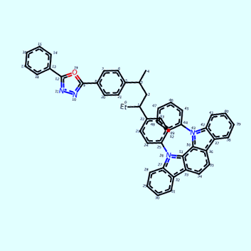 CCC(CC(C)c1ccc(-c2nnc(-c3ccccc3)o2)cc1)c1ccc(-n2c3ccccc3c3ccc4c5ccccc5n(-c5ccccc5)c4c32)cc1